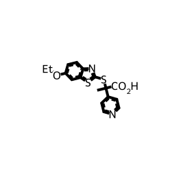 CCOc1ccc2nc(SC(C)(C(=O)O)c3ccncc3)sc2c1